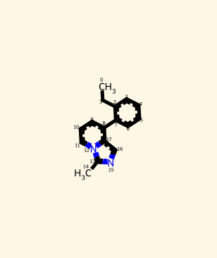 CCc1ccccc1-c1cccn2c(C)ncc12